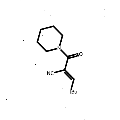 CC(C)(C)/C=C(\C#N)C(=O)N1CCCCC1